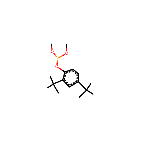 COP(OC)Oc1ccc(C(C)(C)C)cc1C(C)(C)C